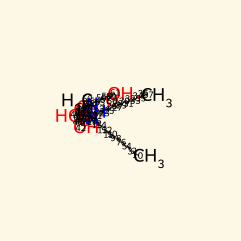 CCCCCCCCCCCCCCCCCCN(C(=O)CCCCCCCCCCCCCCCCC)[C@@H]1O[C@H](CO)[C@@H](O)[C@H](O)[C@@H]1NC(=O)[C@H](C)NCCCCCC(=O)O